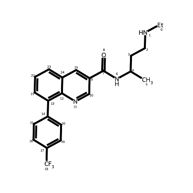 CCNCCC(C)NC(=O)c1cnc2c(-c3ccc(C(F)(F)F)cc3)cccc2c1